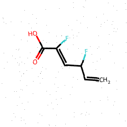 C=CC(F)/C=C(\F)C(=O)O